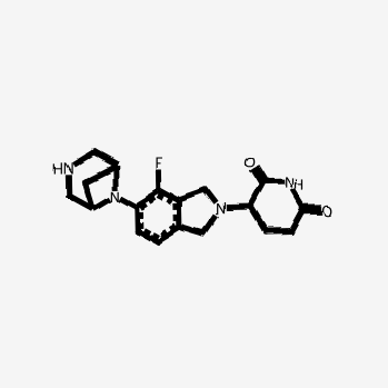 O=C1CCC(N2Cc3ccc(N4C5CNCC4C5)c(F)c3C2)C(=O)N1